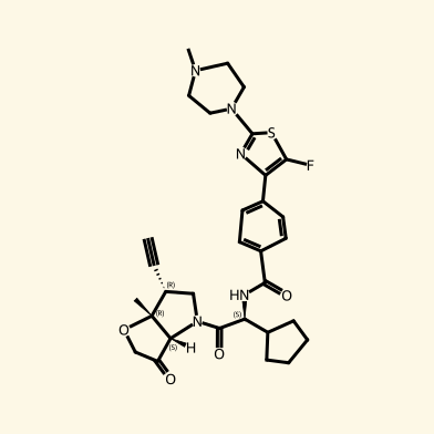 C#C[C@@H]1CN(C(=O)[C@@H](NC(=O)c2ccc(-c3nc(N4CCN(C)CC4)sc3F)cc2)C2CCCC2)[C@@H]2C(=O)CO[C@]12C